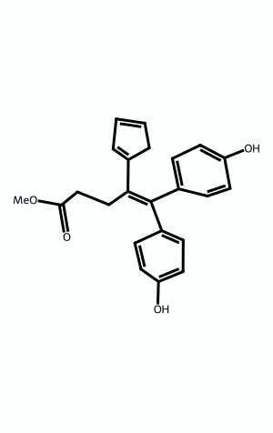 COC(=O)CCC(C1=CC=CC1)=C(c1ccc(O)cc1)c1ccc(O)cc1